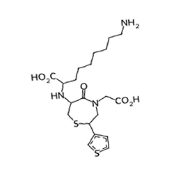 NCCCCCCCC(NC1CSC(c2ccsc2)CN(CC(=O)O)C1=O)C(=O)O